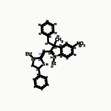 CCN1CC(c2ccccc2)S/C1=C\C1=[N+](CC)c2ccc([N+](=O)[O-])cc2C1(C)Cc1ccccc1